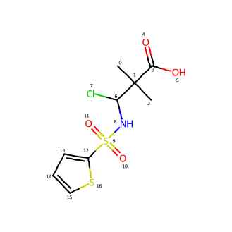 CC(C)(C(=O)O)C(Cl)NS(=O)(=O)c1cccs1